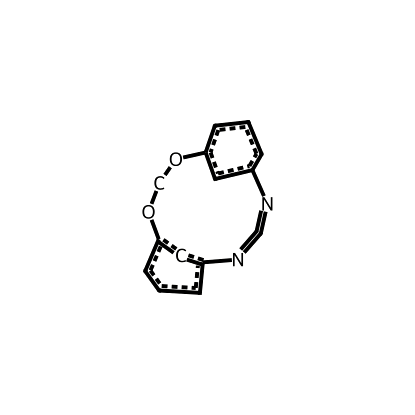 C1=Nc2cccc(c2)OCOc2cccc(c2)N=1